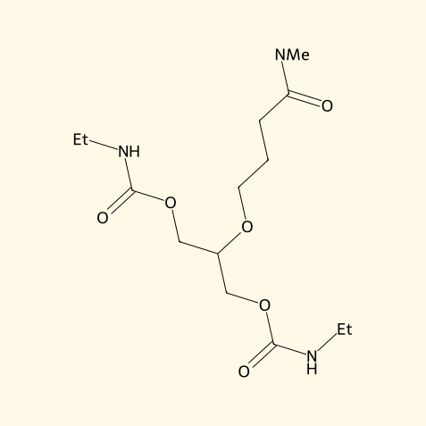 CCNC(=O)OCC(COC(=O)NCC)OCCCC(=O)NC